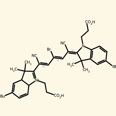 CC(C)(C)C1=CC2C(C=C1)[N+](CCC(=O)O)=C(/C(C#N)=C/C(Br)=C/C(C#N)=C1/N(CCC(=O)O)c3ccc(C(C)(C)C)cc3C1(C)C)C2(C)C